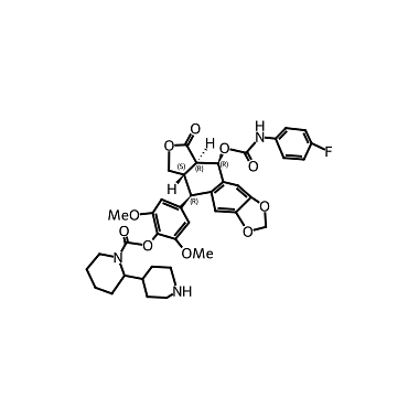 COc1cc([C@@H]2c3cc4c(cc3[C@H](OC(=O)Nc3ccc(F)cc3)[C@@H]3C(=O)OC[C@@H]23)OCO4)cc(OC)c1OC(=O)N1CCCCC1C1CCNCC1